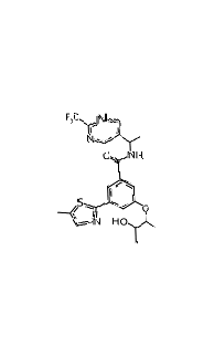 Cc1cnc(-c2cc(OC(C)C(C)O)cc(C(=O)NC(C)c3cnc(C(F)(F)F)nc3)c2)s1